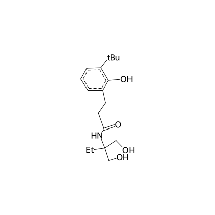 CCC(CO)(CO)NC(=O)CCc1cccc(C(C)(C)C)c1O